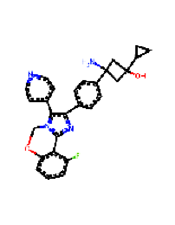 NC1(c2ccc(-c3nc4n(c3-c3ccncc3)COc3cccc(F)c3-4)cc2)CC(O)(C2CC2)C1